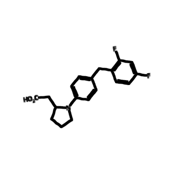 O=C(O)CC1CCCN1c1ccc(Cc2ccc(F)cc2F)cc1